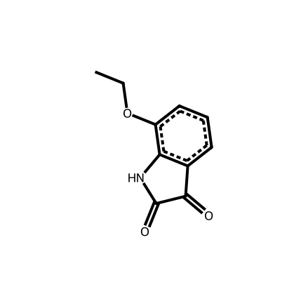 CCOc1cccc2c1NC(=O)C2=O